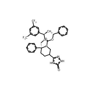 C[C@@H](OC[C@@]1(c2ccccc2)CCC(c2n[nH]c(=O)[nH]2)CN1C(=O)OCc1ccccc1)c1cc(C(F)(F)F)cc(C(F)(F)F)c1